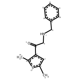 Cc1cc(C(=O)CNCc2ccccc2)c(C)s1